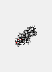 CC1(C)c2ccccc2-c2cccc(N(c3ccc4c(c3)C3(c5ccccc5S4)c4ccccc4-c4ccccc43)c3cccc4sc5c6ccccc6ccc5c34)c21